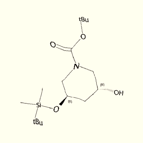 CC(C)(C)OC(=O)N1C[C@H](O)C[C@@H](O[Si](C)(C)C(C)(C)C)C1